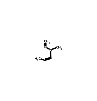 C=NN(C)/C=C\C